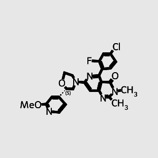 COc1cc([C@H]2CN(c3cc4nc(C)n(C)c(=O)c4c(-c4ccc(Cl)cc4F)n3)CCO2)ccn1